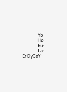 [Ce].[Dy].[Er].[Eu].[Ho].[La].[Y].[Yb]